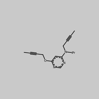 CC#CCOc1cc(N(CC#CC)C(C)C)ncn1